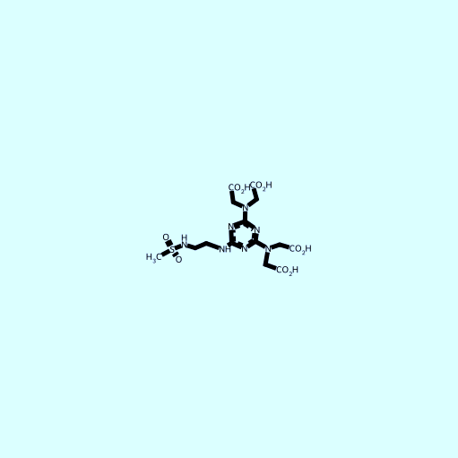 CS(=O)(=O)NCCNc1nc(N(CC(=O)O)CC(=O)O)nc(N(CC(=O)O)CC(=O)O)n1